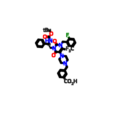 Cc1c(N2CCN(Cc3cccc(C(=O)O)c3)CC2)c(=O)n(C[C@@H](NC(=O)OC(C)(C)C)c2ccccc2)c(=O)n1Cc1c(F)cccc1C(F)(F)F